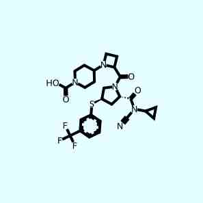 N#CN(C(=O)[C@@H]1C[C@@H](Sc2cccc(C(F)(F)F)c2)CN1C(=O)C1CCN1C1CCN(C(=O)O)CC1)C1CC1